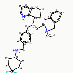 O=C(O)N1Cc2ccccc2CC1CN(Cc1ccc(CNC2CCC(F)(F)CC2)cc1)C1CCCc2cccnc21